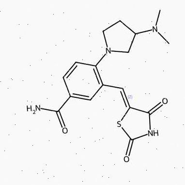 CN(C)C1CCN(c2ccc(C(N)=O)cc2/C=C2\SC(=O)NC2=O)C1